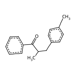 Cc1ccc(CC(C)C(=O)c2ccccc2)cc1